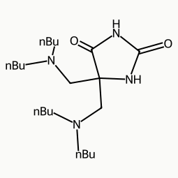 CCCCN(CCCC)CC1(CN(CCCC)CCCC)NC(=O)NC1=O